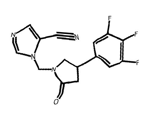 N#Cc1cncn1CN1CC(c2cc(F)c(F)c(F)c2)CC1=O